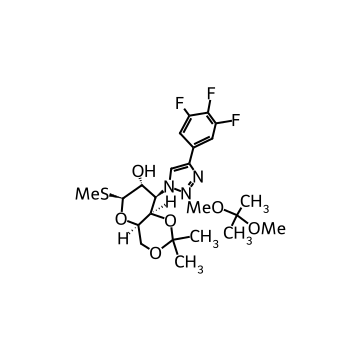 COC(C)(C)OC.CS[C@@H]1O[C@@H]2COC(C)(C)O[C@@H]2[C@H](n2cc(-c3cc(F)c(F)c(F)c3)nn2)[C@H]1O